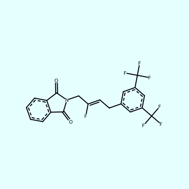 O=C1c2ccccc2C(=O)N1C/C(F)=C/Cc1cc(C(F)(F)F)cc(C(F)(F)F)c1